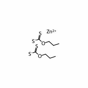 CCCOC(=S)[S-].CCCOC(=S)[S-].[Zn+2]